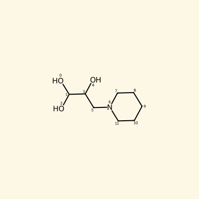 OC(O)C(O)CN1CCCCC1